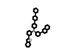 c1ccc(-c2ccc(-c3ccc(N(c4cccc(-c5ccc6ccccc6c5)c4)c4cccc(-c5cc6ccccc6o5)c4)cc3)cc2)cc1